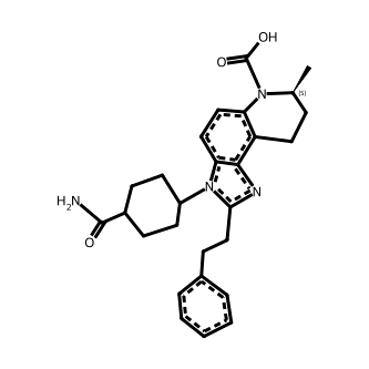 C[C@H]1CCc2c(ccc3c2nc(CCc2ccccc2)n3C2CCC(C(N)=O)CC2)N1C(=O)O